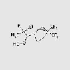 CCC(C)(F)C(OO)C1CC2CC1CC2(C(F)(F)F)C(F)(F)F